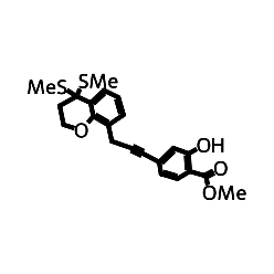 COC(=O)c1ccc(C#CCc2cccc3c2OCCC3(SC)SC)cc1O